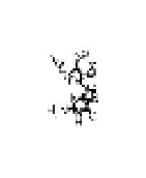 COC[C@H]1O[C@@H](n2cnc3c(=O)[nH]c(N)nc32)[C@@H](OC)C1OC